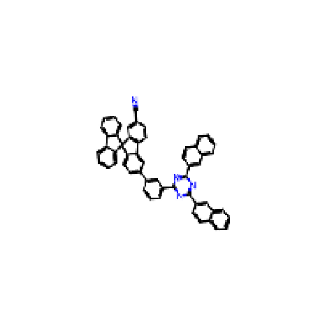 N#Cc1ccc2c(c1)C1(c3ccccc3-c3ccccc31)c1ccc(-c3cccc(-c4nc(-c5ccc6ccccc6c5)nc(-c5ccc6ccccc6c5)n4)c3)cc1-2